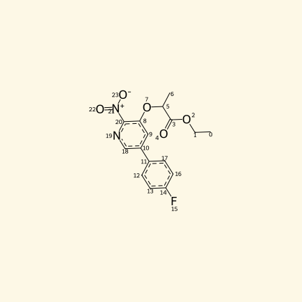 CCOC(=O)C(C)Oc1cc(-c2ccc(F)cc2)cnc1[N+](=O)[O-]